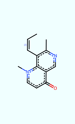 C/C=C\c1c(C)ncc2c(=O)ccn(C)c12